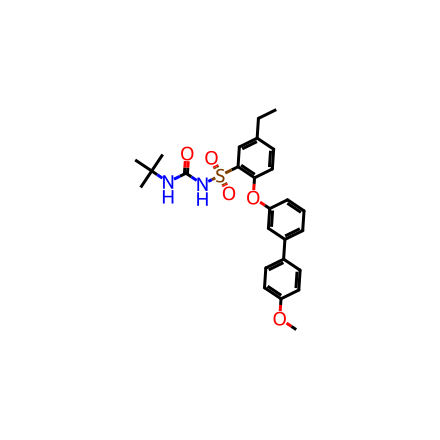 CCc1ccc(Oc2cccc(-c3ccc(OC)cc3)c2)c(S(=O)(=O)NC(=O)NC(C)(C)C)c1